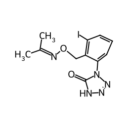 CC(C)=NOCc1c(I)cccc1-n1nn[nH]c1=O